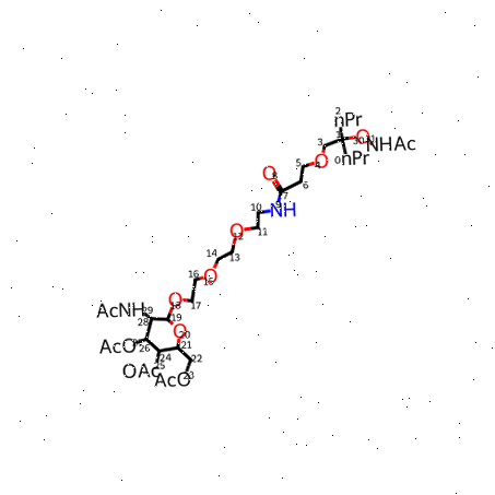 CCCC(CCC)(COCCC(=O)NCCOCCOCCOC1OC(COC(C)=O)C(OC(C)=O)C(OC(C)=O)C1NC(C)=O)ONC(C)=O